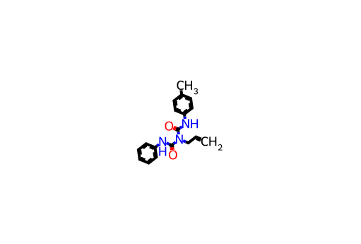 C=CCN(C(=O)Nc1ccccc1)C(=O)Nc1ccc(C)cc1